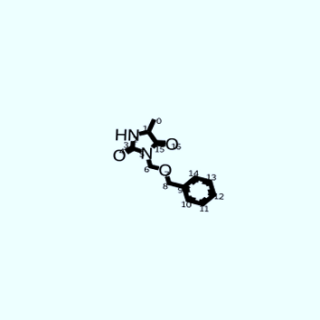 CC1NC(=O)N(COCc2ccccc2)C1=O